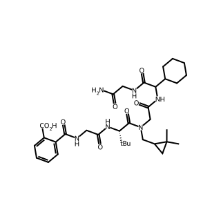 CC1(C)CC1CN(CC(=O)NC(C(=O)NCC(N)=O)C1CCCCC1)C(=O)[C@@H](NC(=O)CNC(=O)c1ccccc1C(=O)O)C(C)(C)C